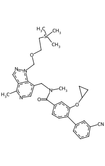 Cc1ncc(CN(C)C(=O)c2ccc(-c3cccc(C#N)c3)c(OC3CC3)c2)c2c1cnn2COCC[Si](C)(C)C